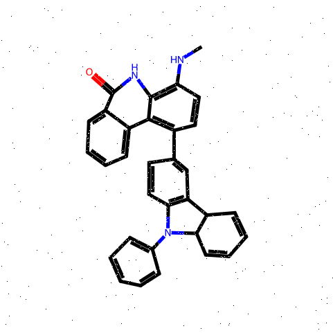 CNc1ccc(-c2ccc3c(c2)C2C=CC=CC2N3c2ccccc2)c2c1[nH]c(=O)c1ccccc12